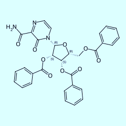 NC(=O)c1nccn([C@@H]2O[C@H](COC(=O)c3ccccc3)[C@H](OC(=O)c3ccccc3)[C@@H]2OC(=O)c2ccccc2)c1=O